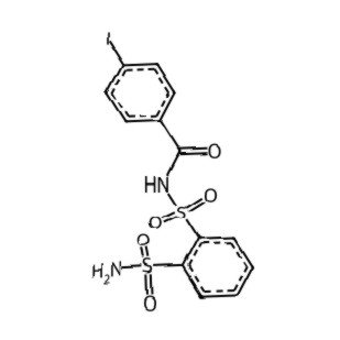 NS(=O)(=O)c1ccccc1S(=O)(=O)NC(=O)c1ccc(I)cc1